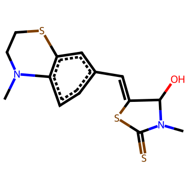 CN1CCSc2cc(/C=C3\SC(=S)N(C)C3O)ccc21